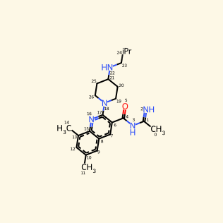 CC(=N)NC(=O)c1cc2cc(C)cc(C)c2nc1N1CCC(NCC(C)C)CC1